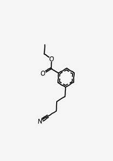 CCOC(=O)c1cccc(CCCC#N)c1